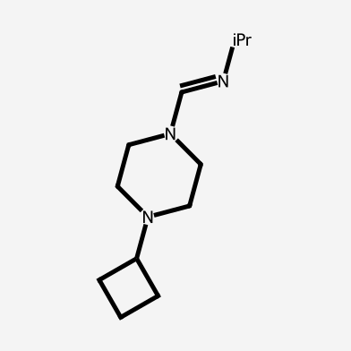 CC(C)/N=C/N1CCN(C2CCC2)CC1